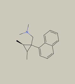 CC1[C@@H](C)C1(CN(C)C)c1cccc2ccccc12